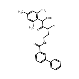 CCC(CCNC(=O)c1cccc(-c2ccccc2)n1)C(=O)C(C=O)c1c(C)cc(C)cc1C